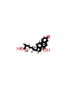 CC(CCC[C@@H](C)[C@H]1CC[C@H]2[C@@H]3[C@@H](O)CC4=CC(=O)CC[C@]4(C)[C@H]3CC[C@]12C)C(=O)O